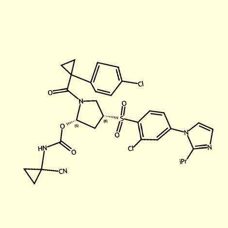 CC(C)c1nccn1-c1ccc(S(=O)(=O)[C@@H]2C[C@H](OC(=O)NC3(C#N)CC3)N(C(=O)C3(c4ccc(Cl)cc4)CC3)C2)c(Cl)c1